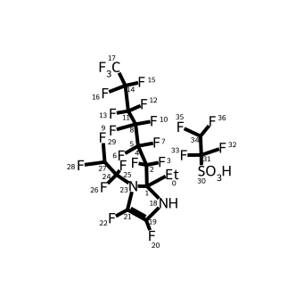 CCC1(C(F)(F)C(F)(F)C(F)(F)C(F)(F)C(F)(F)C(F)(F)F)NC(F)=C(F)N1C(F)(F)C(F)F.O=S(=O)(O)C(F)(F)C(F)F